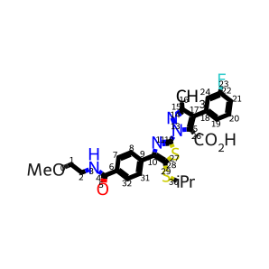 COCCNC(=O)c1ccc(-c2nc(-n3nc(C)c(-c4cccc(F)c4)c3C(=O)O)sc2SC(C)C)cc1